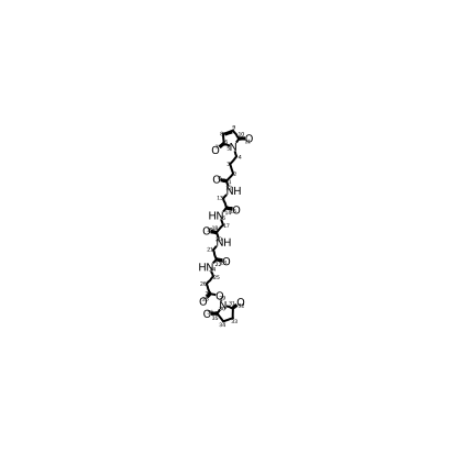 O=C(CCCN1C(=O)C=CC1=O)NCC(=O)NCC(=O)NCC(=O)NCCC(=O)ON1C(=O)CCC1=O